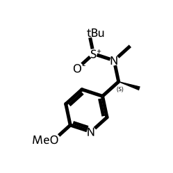 COc1ccc([C@H](C)N(C)[S+]([O-])C(C)(C)C)cn1